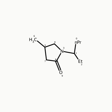 CCCC(CC)N1CC(C)CC1=O